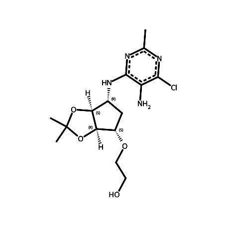 Cc1nc(Cl)c(N)c(N[C@@H]2C[C@H](OCCO)[C@H]3OC(C)(C)O[C@H]32)n1